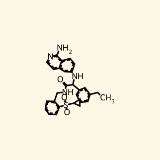 CCc1cccc(C(Nc2ccc3c(N)nccc3c2)C(=O)NCc2ccccc2S(=O)(=O)C2CC2)c1